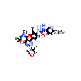 CCN1CC(C)(C)Oc2nc(N3CCOCC3C)nc(-c3ccc(NC(=O)Nc4ccc(OC)nc4)c(C)c3)c2C1=O